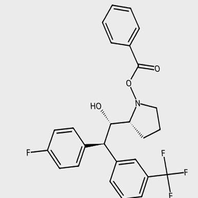 O=C(ON1CCC[C@@H]1[C@@H](O)[C@H](c1ccc(F)cc1)c1cccc(C(F)(F)F)c1)c1ccccc1